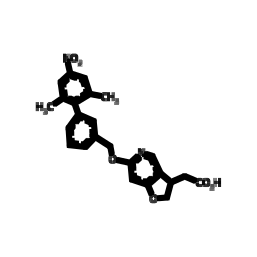 Cc1cc([N+](=O)[O-])cc(C)c1-c1cccc(COc2cc3c(cn2)C(CC(=O)O)CO3)c1